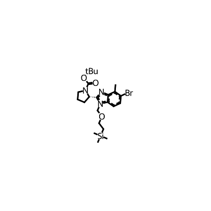 Cc1c(Br)ccc2c1nc([C@@H]1CCCN1C(=O)OC(C)(C)C)n2COCC[Si](C)(C)C